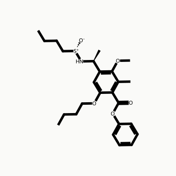 CCCCOc1cc([C@H](C)N[S@@+]([O-])CCCC)c(OC)c(C)c1C(=O)Oc1ccccc1